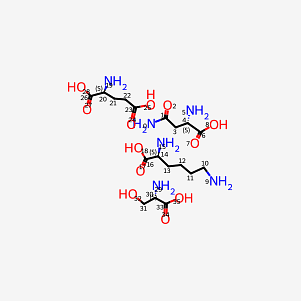 NC(=O)C[C@H](N)C(=O)O.NCCCC[C@H](N)C(=O)O.N[C@@H](CCC(=O)O)C(=O)O.N[C@@H](CO)C(=O)O